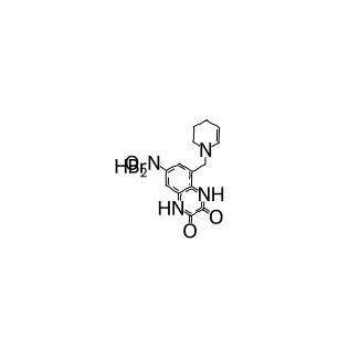 Br.O=c1[nH]c2cc([N+](=O)[O-])cc(CN3C=CCCC3)c2[nH]c1=O